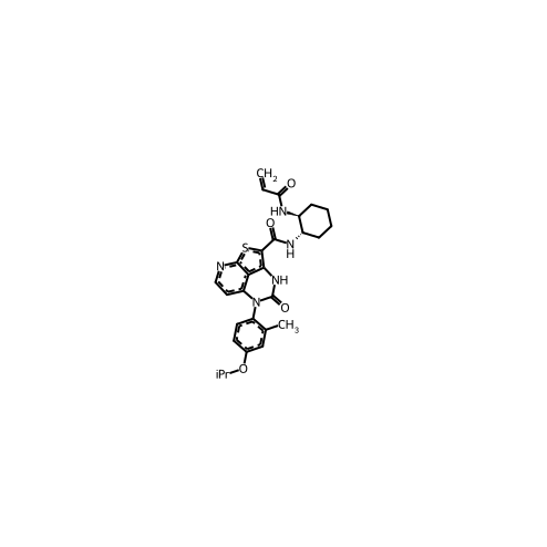 C=CC(=O)N[C@H]1CCCC[C@@H]1NC(=O)c1sc2nccc3c2c1NC(=O)N3c1ccc(OC(C)C)cc1C